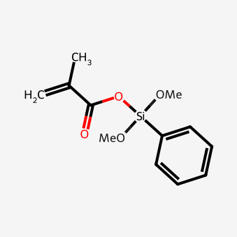 C=C(C)C(=O)O[Si](OC)(OC)c1ccccc1